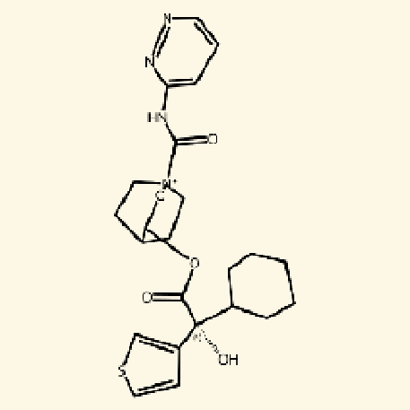 O=C(OC1C[N+]2(C(=O)Nc3cccnn3)CCC1CC2)[C@](O)(c1ccsc1)C1CCCCC1